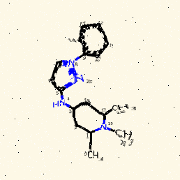 CC1CC(Nc2ccn(-c3ccccc3)n2)CC(C)N1C